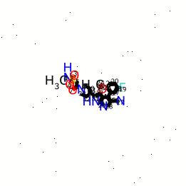 CNS(=O)(=O)CC(=O)N1CC=C(c2cc3c(-c4cc(F)ccc4OC)c(C#N)cnc3[nH]2)CC1